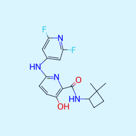 CC1(C)CCC1NC(=O)c1nc(Nc2cc(F)nc(F)c2)ccc1O